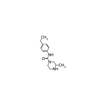 CCc1ccc(NC(=O)N2CCNC(C)C2)cc1